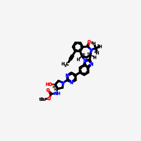 [2H]C([2H])([2H])N1C(=O)c2cccc(C#CC)c2[C@H]2C[C@@H]1c1nc3ccc(-c4cnc(N5C[C@H](NC(=O)OC(C)(C)C)[C@@H](O)C5)nc4)cc3n12